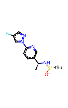 C[C@H](N[S@@+]([O-])C(C)(C)C)c1ccc(-n2cc(F)cn2)nc1